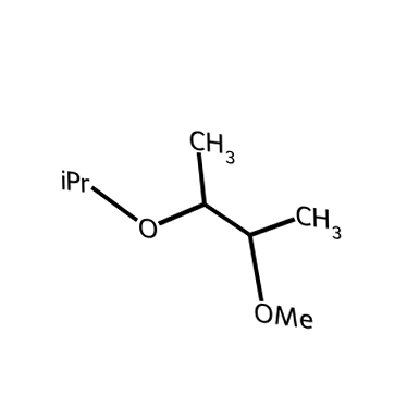 COC(C)C(C)OC(C)C